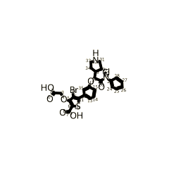 O=C(O)COc1c(C(=O)O)sc(-c2cccc(OC(C(=O)N(Cl)c3ccccc3)C3CCNCC3)c2)c1Br